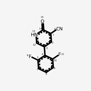 N#Cc1cc(-c2c(F)cccc2F)c[nH]c1=O